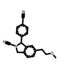 COCCc1ccc2c(c1)C(c1ccc(C#N)cc1)N(C#N)C2